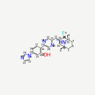 C[C@]12CCC[C@](C)(N1)[C@H](F)/C(=C/c1cnc(-c3ccc(-n4ccnc4)cc3O)cn1)C2